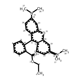 CCOC(=O)c1ccccc1-c1c2ccc(=[N+](C)C)cc-2oc2cc(N(C)C)ccc12